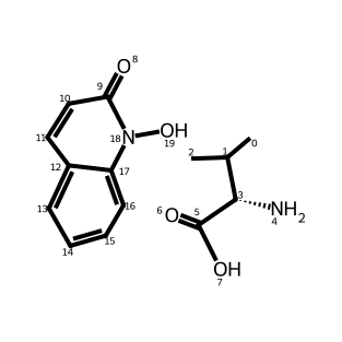 CC(C)[C@H](N)C(=O)O.O=c1ccc2ccccc2n1O